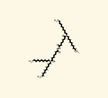 CCCCCCCCCCN(CCCCCCCCCC)C(=O)CCCCCC(=O)N=NC(=O)CCCCCC(=O)N(CCCCCCCCCC)CCCCCCCCCC